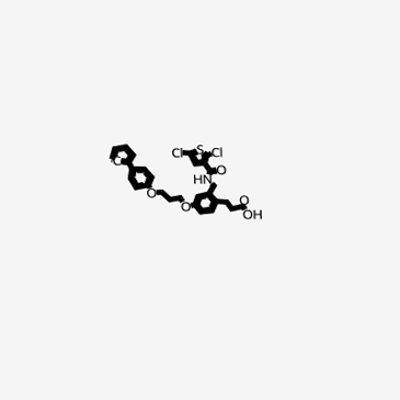 O=C(O)CCc1ccc(OCCCOc2ccc(-c3ccccc3)cc2)cc1CNC(=O)c1cc(Cl)sc1Cl